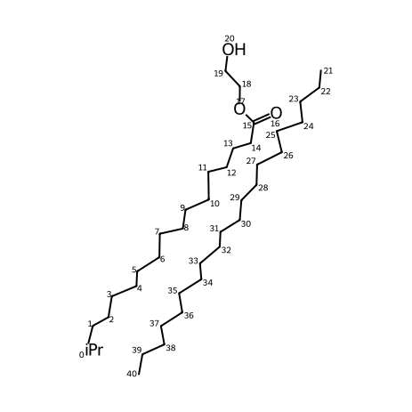 CC(C)CCCCCCCCCCCCCCC(=O)OCCO.CCCCCCCCCCCCCCCCCCCC